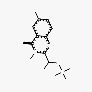 CCCC(O[Si](C)(C)C)c1nc2ccc(F)cc2c(=O)n1CC